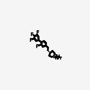 CCC[Si@H]1CC[C@H](CCc2ccc(-c3cc(F)c(F)c(F)c3)c(F)c2)CC1